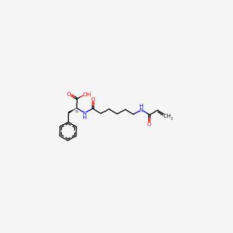 C=CC(=O)NCCCCCC(=O)N[C@@H](Cc1ccccc1)C(=O)O